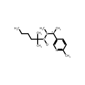 CCCCC(C)(C)[S+]([O-])N(C)[C@@H](C)c1ccc(C)nc1